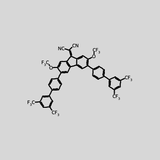 N#CC(C#N)=C1c2cc(OC(F)(F)F)c(-c3ccc(-c4cc(C(F)(F)F)cc(C(F)(F)F)c4)cc3)cc2-c2cc(-c3ccc(-c4cc(C(F)(F)F)cc(C(F)(F)F)c4)cc3)c(OC(F)(F)F)cc21